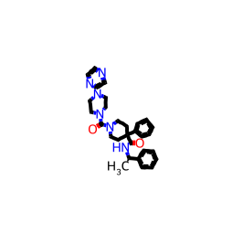 C[C@H](NC(=O)C1(c2ccccc2)CCN(C(=O)N2CCN(c3cnccn3)CC2)CC1)c1ccccc1